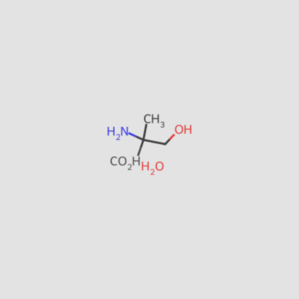 CC(N)(CO)C(=O)O.O